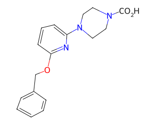 O=C(O)N1CCN(c2cccc(OCc3ccccc3)n2)CC1